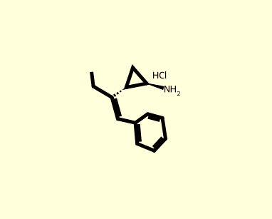 CCC(=Cc1ccccc1)[C@@H]1C[C@H]1N.Cl